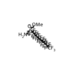 COCC(=O)N(CCN)C(F)(F)C(F)(F)C(F)(F)C(F)(F)C(F)(F)C(F)(F)C(F)(F)C(F)(F)C(F)(F)C(F)(F)F